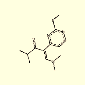 CSc1nccc(/C(=C\N(C)C)C(=O)C(C)C)n1